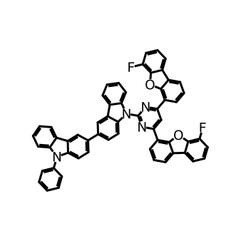 Fc1cccc2c1oc1c(-c3cc(-c4cccc5c4oc4c(F)cccc45)nc(-n4c5ccccc5c5cc(-c6ccc7c(c6)c6ccccc6n7-c6ccccc6)ccc54)n3)cccc12